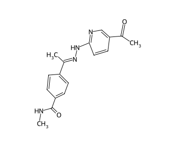 CNC(=O)c1ccc(/C(C)=N/Nc2ccc(C(C)=O)cn2)cc1